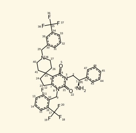 N[C@@H](Cn1c(=O)c2c(n(Cc3c(F)cccc3C(F)(F)F)c1=O)CCC21CCN(Cc2cccc(C(F)(F)F)c2)CC1)c1ccccc1